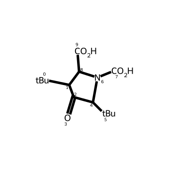 CC(C)(C)C1C(=O)C(C(C)(C)C)N(C(=O)O)C1C(=O)O